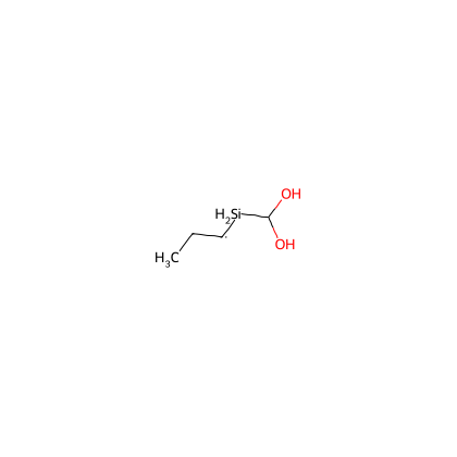 CC[CH][SiH2]C(O)O